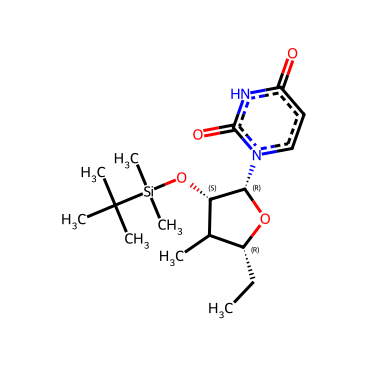 CC[C@H]1O[C@@H](n2ccc(=O)[nH]c2=O)[C@@H](O[Si](C)(C)C(C)(C)C)C1C